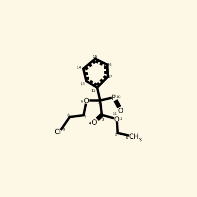 CCOC(=O)C(OCCCl)(P=O)c1ccccc1